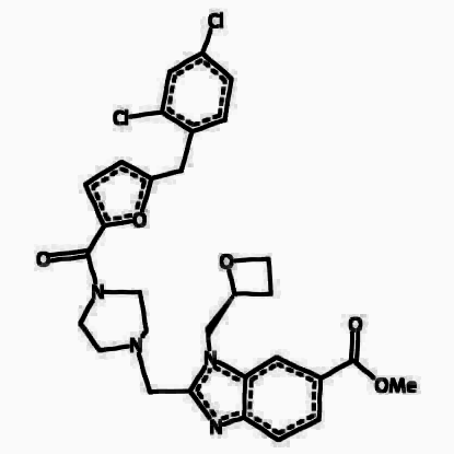 COC(=O)c1ccc2nc(CN3CCN(C(=O)c4ccc(Cc5ccc(Cl)cc5Cl)o4)CC3)n(C[C@@H]3CCO3)c2c1